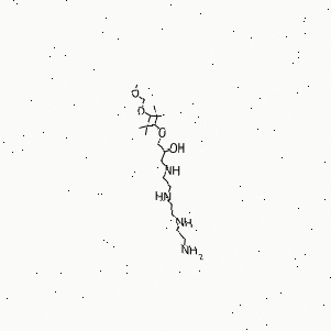 COCOC1C(C)(C)C(OCC(O)CNCCNCCNCCN)C1(C)C